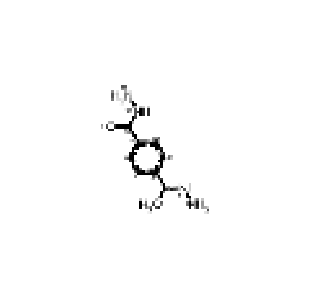 CC(NN)c1ccc(C(=O)NN)cc1